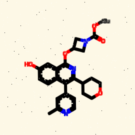 Cc1cc(-c2c(C3CCOCC3)nc(OC3CN(C(=O)OC(C)(C)C)C3)c3cc(O)ccc23)ccn1